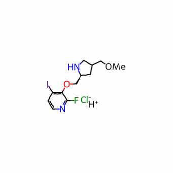 COCC1CN[C@H](COc2c(I)ccnc2F)C1.[Cl-].[H+]